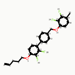 C=CCCCOc1ccc(-c2ccc(COc3ccc(C)c(F)c3F)cc2)c(F)c1F